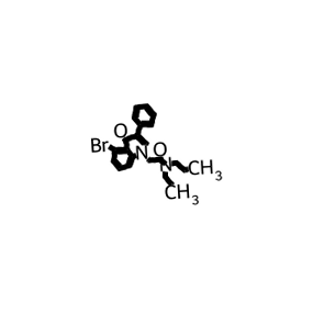 CCCN(CCC)C(=O)Cn1cc(-c2ccccc2)c(=O)c2c(Br)cccc21